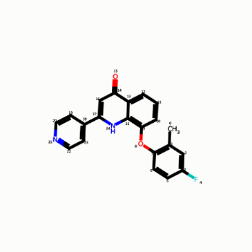 Cc1cc(F)ccc1Oc1cccc2c(=O)cc(-c3ccncc3)[nH]c12